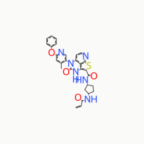 C=CC(=O)NC1CCC(NC(=O)c2sc3nccc4c3c2NC(=O)N4c2cnc(Oc3ccccc3)cc2C)C1